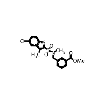 COC(=O)c1cccc(CN(C)S(=O)(=O)c2sc3ccc(Cl)cc3c2C)c1